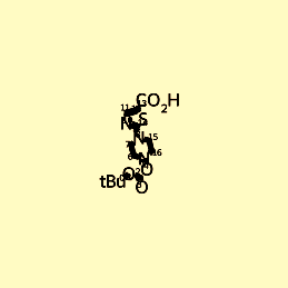 CC(C)(C)OC(=O)ON1CCN(c2ncc(C(=O)O)s2)CC1